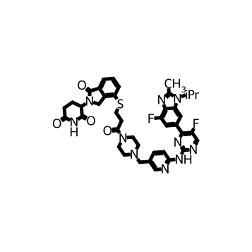 Cc1nc2c(F)cc(-c3nc(Nc4ccc(CN5CCN(C(=O)CCSc6cccc7c6CN(C6CCC(=O)NC6=O)C7=O)CC5)cn4)ncc3F)cc2n1C(C)C